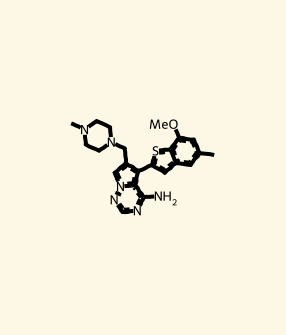 COc1cc(C)cc2cc(-c3c(CN4CCN(C)CC4)cn4ncnc(N)c34)sc12